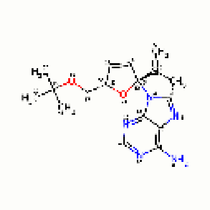 C[SiH](C)[C@]1(n2cnc3c(N)ncnc32)C=C[C@@H](COC(C)(C)C)O1